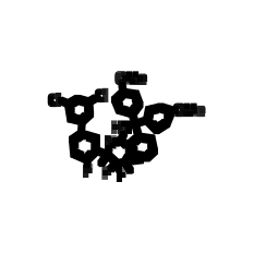 COc1ccc(C(NC2=NC(C)(c3cc(-c4cc(Cl)cc(Cl)c4)ccc3F)C(F)(F)C(C)(C)O2)(c2ccccc2)c2ccc(OC)cc2)cc1